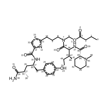 CCCC(=O)OCN(CCCc1nc(C(=O)N[C@@H](Cc2ccc(O)cc2)C[C@H](C)C(N)=O)cs1)C(=O)C(NC(=O)[C@H]1CCCCN1C)[C@@H](C)CC